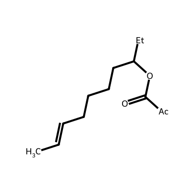 CC=CCCCCC(CC)OC(=O)C(C)=O